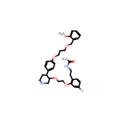 COc1ccccc1COCCCOc1ccc(C2CCNCC2OCCOc2cc(Cl)ccc2CCNC(C)=O)cc1